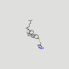 CC(C)CCC[C@@H](C)[C@H]1CC[C@H]2[C@@H]3CC=C4C[C@@H](SSCc5c[nH]cn5)CC[C@]4(C)C3CC[C@]12C